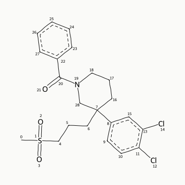 CS(=O)(=O)CCCC1(c2ccc(Cl)c(Cl)c2)CCCN(C(=O)c2ccccc2)C1